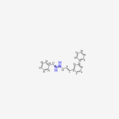 C(=C\c1cccc(-c2ccccc2)c1)/CNNCc1ccccc1